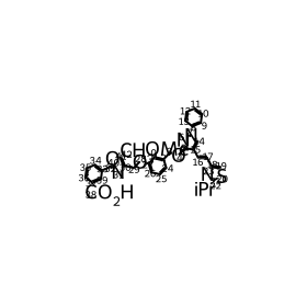 COc1c(COc2nn(-c3ccccc3)cc2C=Cc2csc(C(C)C)n2)cccc1OCc1nc(-c2cccc(C(=O)O)c2)oc1C